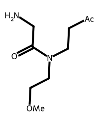 COCCN(CCC(C)=O)C(=O)CN